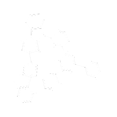 c1ccc(-c2nc(-c3ccccc3)nc(-c3cccc(-n4c5ccccc5c5ccc(-c6ccc7c(c6)oc6ccccc67)cc54)n3)n2)cc1